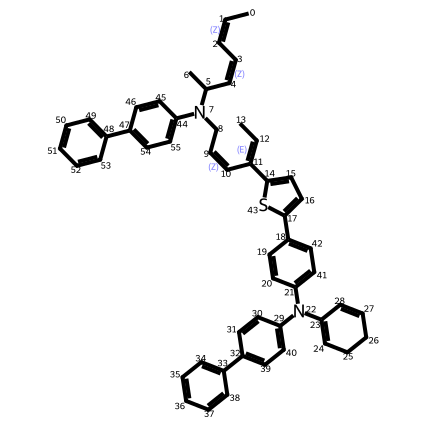 C/C=C\C=C/C(C)N(C/C=C\C(=C/C)c1ccc(-c2ccc(N(C3=CCCC=C3)c3ccc(-c4ccccc4)cc3)cc2)s1)c1ccc(-c2ccccc2)cc1